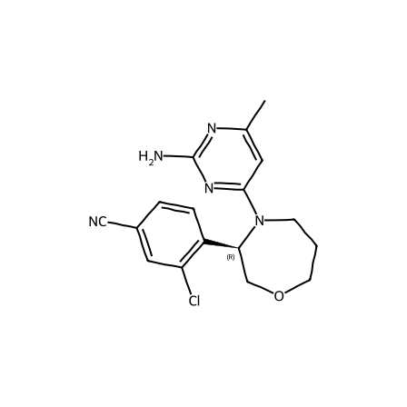 Cc1cc(N2CCCOC[C@H]2c2ccc(C#N)cc2Cl)nc(N)n1